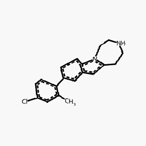 Cc1cc(Cl)ccc1-c1ccc2c(c1)cc1n2CCNCC1